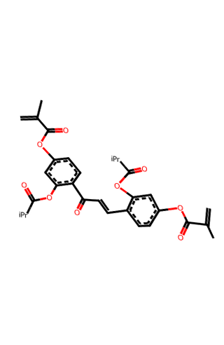 C=C(C)C(=O)Oc1ccc(/C=C/C(=O)c2ccc(OC(=O)C(=C)C)cc2OC(=O)C(C)C)c(OC(=O)C(C)C)c1